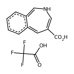 O=C(O)C(F)(F)F.O=C(O)C1=CNC=c2ccccc2=C1